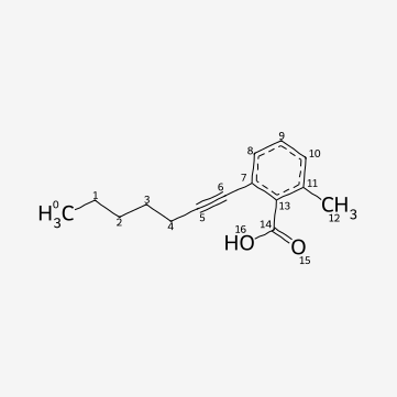 CCCCCC#Cc1cccc(C)c1C(=O)O